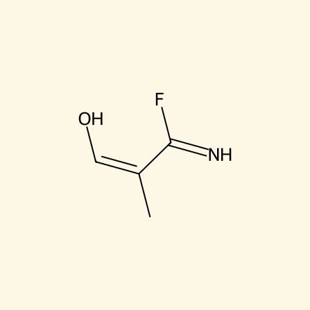 C/C(=C/O)C(=N)F